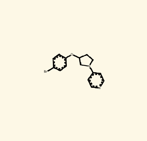 Brc1ccc(OC2CCN(c3ccncc3)C2)cc1